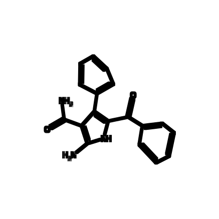 NC(=O)c1c(N)[nH]c(C(=O)c2ccccc2)c1-c1ccccc1